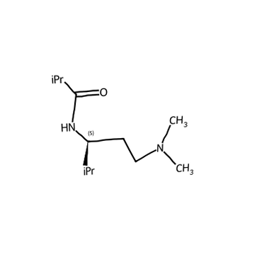 CC(C)C(=O)N[C@@H](CCN(C)C)C(C)C